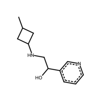 CC1CC(NCC(O)c2cccnc2)C1